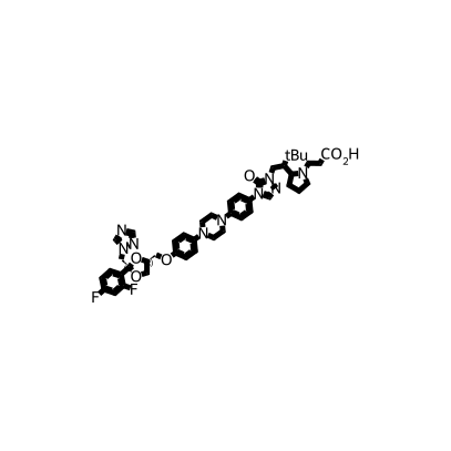 CC(C)(C)C(Cn1ncn(-c2ccc(N3CCN(c4ccc(OC[C@@H]5CO[C@@](Cn6cncn6)(c6ccc(F)cc6F)O5)cc4)CC3)cc2)c1=O)C1CCCN1CCC(=O)O